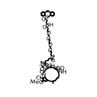 COc1cc2cc(c1Cl)N(C)C(=O)C[C@H](OC(=O)[C@H](C)N(C)C(=O)CCCC(=O)N(C)CCOCCOCCOCCOCCC(=O)NCCC(=O)N1Cc3ccccc3C#Cc3ccccc31)[C@]1(C)O[C@H]1[C@H](C)[C@@H]1CC(C/C=C/C=C(/C)C2)NC(=O)O1